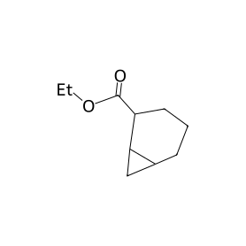 CCOC(=O)C1CCCC2CC21